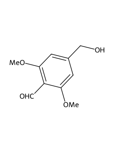 COc1cc(CO)cc(OC)c1C=O